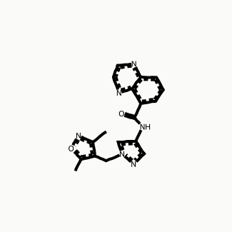 Cc1noc(C)c1Cn1cc(NC(=O)c2cccc3nccnc23)cn1